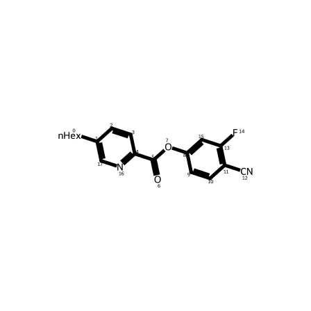 CCCCCCc1ccc(C(=O)Oc2ccc(C#N)c(F)c2)nc1